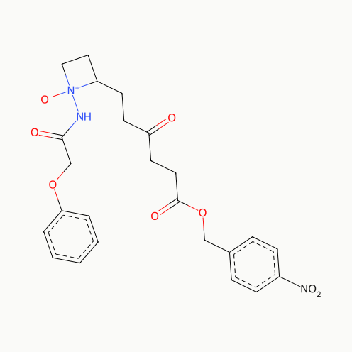 O=C(CCC(=O)OCc1ccc([N+](=O)[O-])cc1)CCC1CC[N+]1([O-])NC(=O)COc1ccccc1